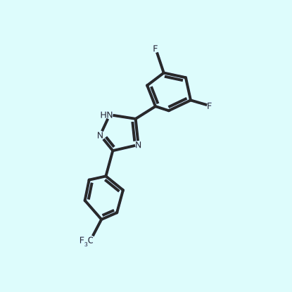 Fc1cc(F)cc(-c2nc(-c3ccc(C(F)(F)F)cc3)n[nH]2)c1